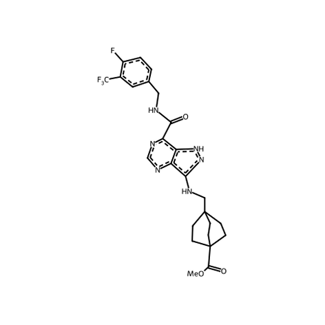 COC(=O)C12CCC(CNc3n[nH]c4c(C(=O)NCc5ccc(F)c(C(F)(F)F)c5)ncnc34)(CC1)CC2